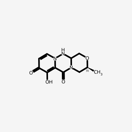 C[C@H]1CN2C(=O)c3c(O)c(=O)ccn3NC2CO1